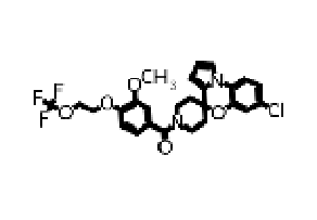 COc1cc(C(=O)N2CCC3(CC2)Oc2cc(Cl)ccc2-n2cccc23)ccc1OCCOC(F)(F)F